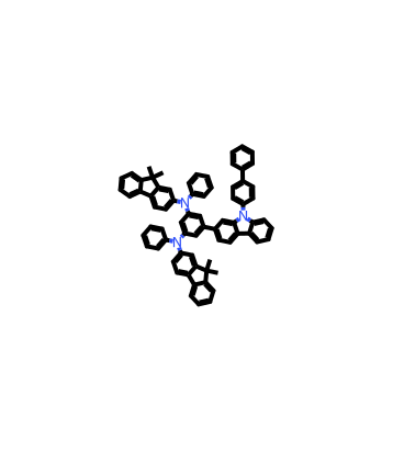 CC1(C)c2ccccc2-c2ccc(N(c3ccccc3)c3cc(-c4ccc5c6ccccc6n(-c6ccc(-c7ccccc7)cc6)c5c4)cc(N(c4ccccc4)c4ccc5c(c4)C(C)(C)c4ccccc4-5)c3)cc21